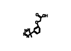 CC1(c2cccc(OCC(=O)O)c2)N=NN=N1